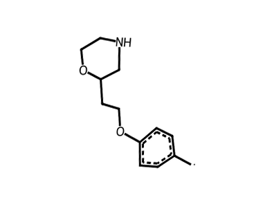 [CH2]c1ccc(OCCC2CNCCO2)cc1